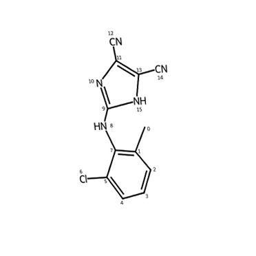 Cc1cccc(Cl)c1Nc1nc(C#N)c(C#N)[nH]1